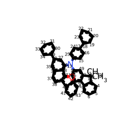 CC1(C)c2ccccc2-c2ccc(N(c3ccc(-c4ccccc4)cc3)c3cc(-c4ccccc4)cc4ccc5c6ccccc6oc5c34)cc21